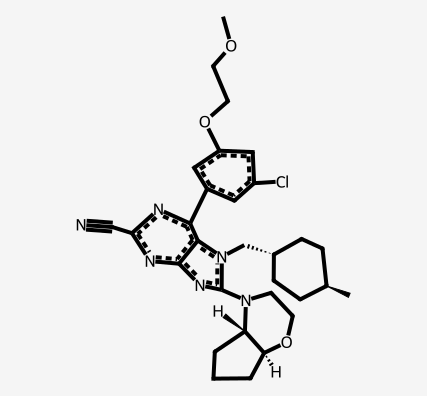 COCCOc1cc(Cl)cc(-c2nc(C#N)nc3nc(N4CCO[C@H]5CCC[C@@H]54)n(C[C@H]4CC[C@H](C)CC4)c23)c1